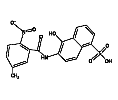 Cc1ccc([N+](=O)[O-])c(C(=O)Nc2ccc3c(S(=O)(=O)O)cccc3c2O)c1